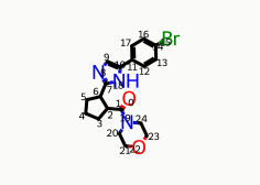 O=C(C1CCCC1c1ncc(-c2ccc(Br)cc2)[nH]1)N1CCOCC1